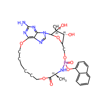 C[C@@H]1NP(=O)(Oc2cccc3ccccc23)OCC2OC(n3cnc4c(nc(N)nc43)OCCCCCCOC1=O)[C@](C)(O)[C@@H]2O